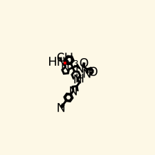 CNC(=O)N1CCCC1C(CNC(=O)c1cocn1)(c1ccccc1)C1CCN(CC2CN(c3ccc(C#N)cc3)C2)CC1